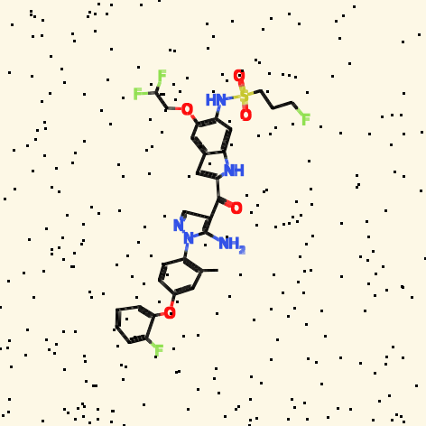 Cc1cc(Oc2ccccc2F)ccc1-n1ncc(C(=O)c2cc3cc(OCC(F)F)c(NS(=O)(=O)CCCF)cc3[nH]2)c1N